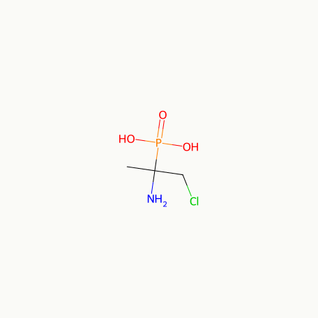 CC(N)(CCl)P(=O)(O)O